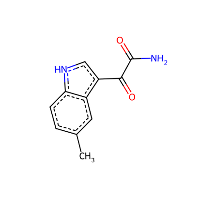 Cc1ccc2[nH]cc(C(=O)C(N)=O)c2c1